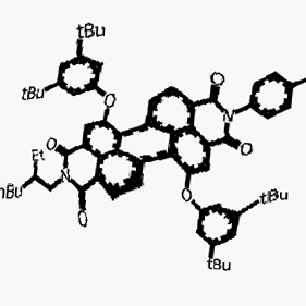 CCCCC(CC)CN1C(=O)c2ccc3c4c(Oc5cc(C(C)(C)C)cc(C(C)(C)C)c5)cc5c6c(ccc(c7c(Oc8cc(C(C)(C)C)cc(C(C)(C)C)c8)cc(c2c37)C1=O)c64)C(=O)N(c1ccc(C)cc1)C5=O